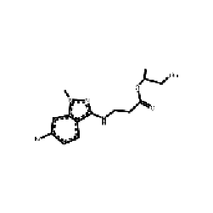 CC(CC(C)(C)C)OC(=O)CCNc1nn(C)c2cc(Br)ccc12